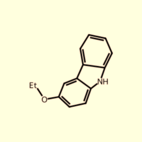 CCOc1ccc2[nH]c3ccccc3c2c1